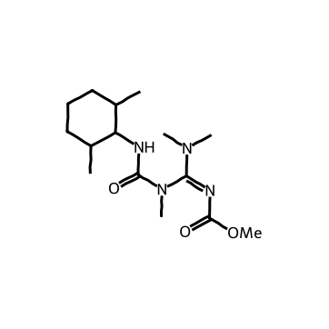 COC(=O)/N=C(/N(C)C)N(C)C(=O)NC1C(C)CCCC1C